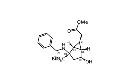 CCOC(=O)[C@]1(N[C@H](C)c2ccccc2)C[C@H](O)[C@H]2[C@H](CC(=O)OC)[C@H]21